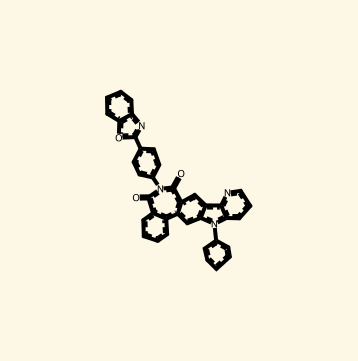 O=c1c2ccccc2c2cc3c(cc2c(=O)n1-c1ccc(-c2nc4ccccc4o2)cc1)c1ncccc1n3-c1ccccc1